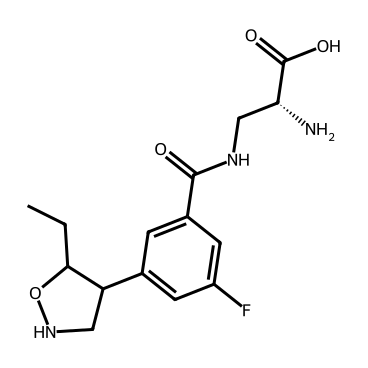 CCC1ONCC1c1cc(F)cc(C(=O)NC[C@@H](N)C(=O)O)c1